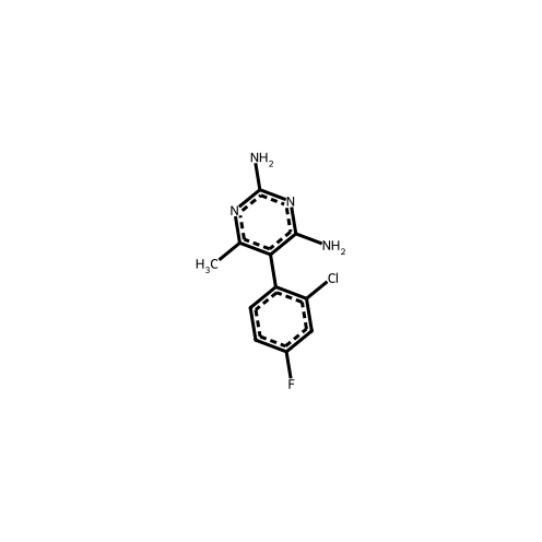 Cc1nc(N)nc(N)c1-c1ccc(F)cc1Cl